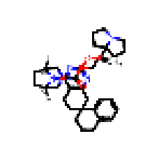 C=CCOC(=O)N1C[C@H]2CC[C@@H](C1)N2c1nc(OCC23CCCN2CCC3)nc2c1CCC1(CCCc3ccccc31)C2